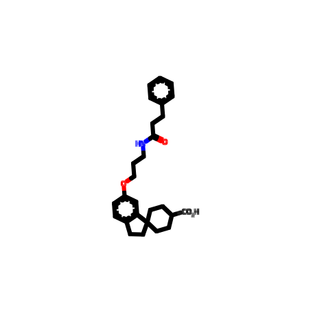 O=C(CCc1ccccc1)NCCCOc1ccc2c(c1)C1(CC2)CCC(C(=O)O)CC1